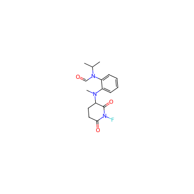 CC(C)N(C=O)c1ccccc1N(C)C1CCC(=O)N(F)C1=O